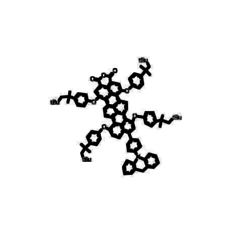 CC(C)(C)CC(C)(C)c1ccc(Oc2ccc3c(-c4ccc(N5c6ccccc6Cc6ccccc65)cc4)cc(Oc4ccc(C(C)(C)CC(C)(C)C)cc4)c4c5ccc6c7c(Oc8ccc(C(C)(C)CC(C)(C)C)cc8)cc8c9c(cc(Oc%10ccc(C(C)(C)CC(C)(C)C)cc%10)c(c%10ccc(c2c34)c5c%106)c97)C(=O)OC8=O)cc1